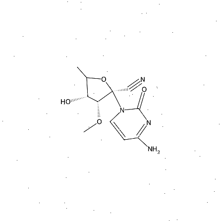 CO[C@@H]1[C@H](O)C(C)O[C@@]1(C#N)n1ccc(N)nc1=O